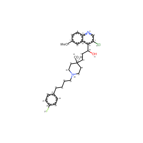 COc1ccc2ncc(Cl)c(C(O)CCC3(C(=O)O)CCN(CCCCc4ccc(F)cc4)CC3)c2c1